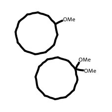 COC1(OC)CCCCCCCCCCC1.COC1CCCCCCCCCCC1